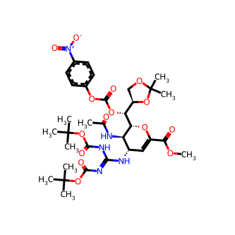 COC(=O)C1=C[C@H](N/C(=N/C(=O)OC(C)(C)C)NC(=O)OC(C)(C)C)[C@@H](NC(C)=O)[C@H]([C@H](OC(=O)Oc2ccc([N+](=O)[O-])cc2)[C@H]2COC(C)(C)O2)O1